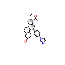 C=C[C@@H]1CC2C3CCC4=CC(=O)CCC4=C3[C@@H](c3ccc(-n4ccnc4)cc3)C[C@]2(C)C1C(C)=O